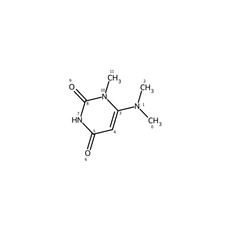 CN(C)c1cc(=O)[nH]c(=O)n1C